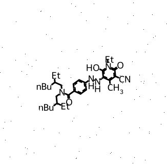 CCCCC(CC)CN(CC(CC)CCCC)C(=O)c1ccc(NNc2c(C)c(C#N)c(=O)n(CC)c2O)cc1